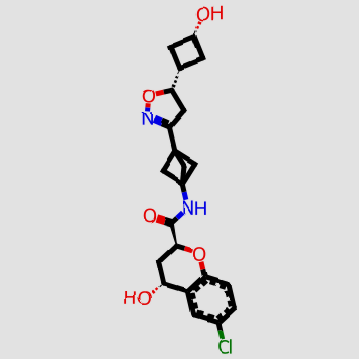 O=C(NC12CC(C3=NOC([C@H]4C[C@@H](O)C4)C3)(C1)C2)[C@@H]1C[C@@H](O)c2cc(Cl)ccc2O1